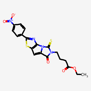 CCOC(=O)CCCN1C(=O)c2cc3sc(-c4ccc([N+](=O)[O-])cc4)nc3n2C1=S